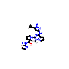 C[C@@]1(C(=O)Nc2nccs2)CCCN1c1nc(Nc2cc(C3CC3)[nH]n2)c2cccn2n1